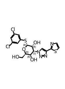 OC[C@H]1O[C@H](Sc2cc(Cl)cc(Cl)c2)[C@H](O)[C@@H](n2cc(-c3nccs3)nn2)[C@H]1O